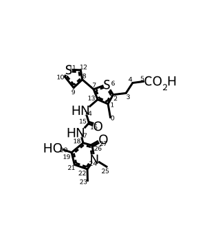 Cc1c(CCC(=O)O)sc(-c2ccsc2)c1NC(=O)Nc1c(O)cc(C)n(C)c1=O